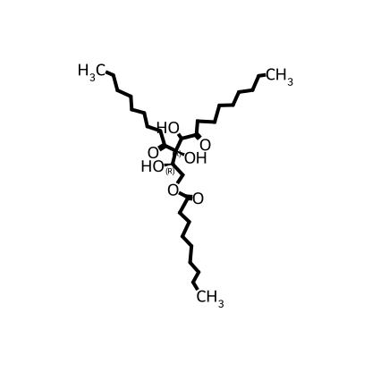 CCCCCCCCC(=O)OC[C@@H](O)[C@](O)(C(=O)CCCCCCCC)C(O)C(=O)CCCCCCCC